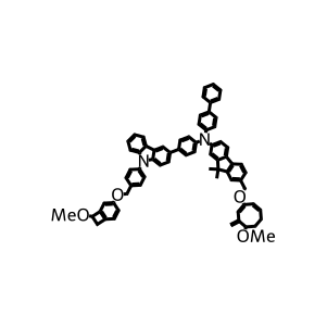 C=C1/C=C(OCc2ccc3c(c2)C(C)(C)c2cc(N(c4ccc(-c5ccccc5)cc4)c4ccc(-c5ccc6c(c5)c5ccccc5n6-c5ccc(COc6ccc7c(c6)C(OC)C7)cc5)cc4)ccc2-3)\C=C/CCC1OC